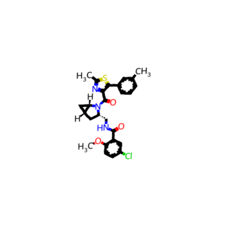 COc1ccc(Cl)cc1C(=O)NC[C@@H]1C[C@@H]2C[C@@H]2N1C(=O)c1nc(C)sc1-c1cccc(C)c1